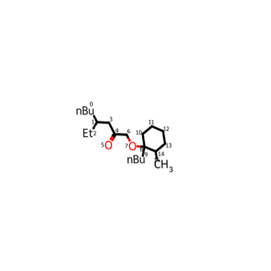 CCCCC(CC)CC(=O)COC1(CCCC)CCCCC1C